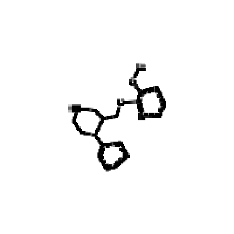 CCOc1cccnc1OCC1CNCCC1c1ccccc1